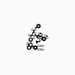 COc1ccc(C2=NN(C3CCN(C(=O)[C@@H](CCC(=O)OCc4ccccc4)NC(=O)c4c[nH]c5c(-c6c(OCC7CC7)ccc7c6OCO7)ncnc45)CC3)C(=O)[C@@H]3CCCC[C@H]23)cc1OC